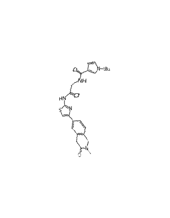 CN1Cc2ccc(-c3csc(NC(=O)CNC(=O)c4ccn(C(C)(C)C)c4)n3)cc2CC1=O